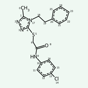 Cc1nnc(SCC(=O)Nc2ccc(Cl)cc2)n1CCc1ccccc1